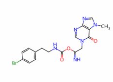 Cn1cnc2ncn(CC(=N)OC(=O)NCCc3ccc(Br)cc3)c(=O)c21